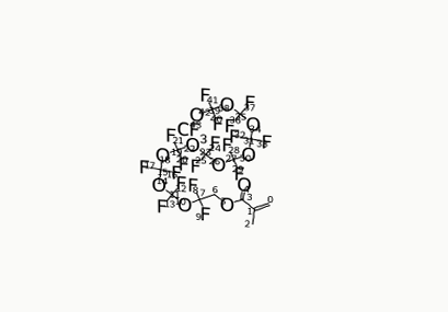 C=C(C)C(=O)OCC(F)(F)OC(F)(F)OC(F)(F)OC(F)(F)OC(F)(F)OC(F)(F)OC(F)(F)OC(F)(F)OC(F)(F)OC(F)(F)F